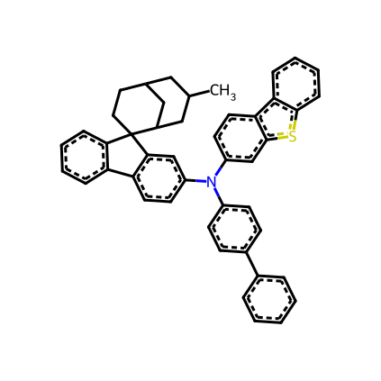 CC1CC2CCC3(c4ccccc4-c4ccc(N(c5ccc(-c6ccccc6)cc5)c5ccc6c(c5)sc5ccccc56)cc43)C(C1)C2